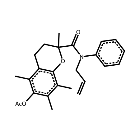 C=CCN(C(=O)C1(C)CCc2c(C)c(OC(C)=O)c(C)c(C)c2O1)c1ccccc1